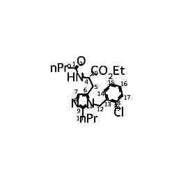 CCCC(=O)N[C@@H](Cc1cnc(CCC)n1Cc1ccccc1Cl)C(=O)OCC